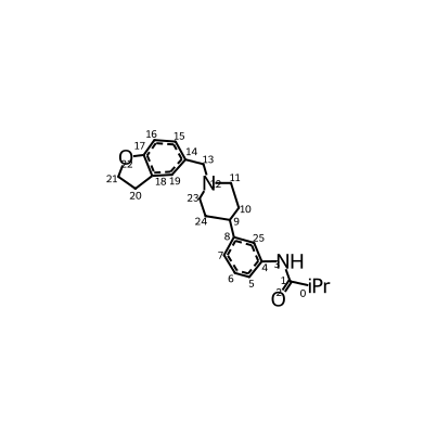 CC(C)C(=O)Nc1cccc(C2CCN(Cc3ccc4c(c3)CCO4)CC2)c1